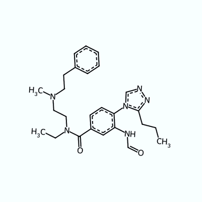 CCCc1nncn1-c1ccc(C(=O)N(CC)CCN(C)CCc2ccccc2)cc1NC=O